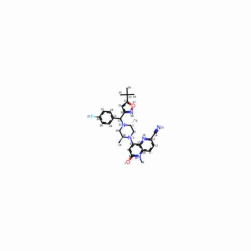 C[C@@H]1CN(c2cc(=O)n(C)c3ccc(C#N)nc23)[C@@H](C)CN1C(c1ccc(F)cc1)c1cc(C(C)(C)C)on1